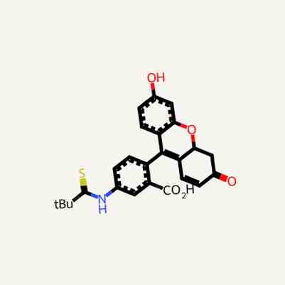 CC(C)(C)C(=S)Nc1ccc(C2=C3C=CC(=O)CC3Oc3cc(O)ccc32)c(C(=O)O)c1